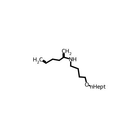 C=CCCC(=C)NCCCCOCCCCCCC